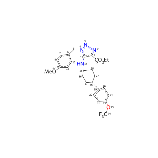 CCOC(=O)c1nnn(Cc2ccc(OC)cc2)c1N[C@H]1CC[C@@H](c2ccc(OC(F)(F)F)cc2)CC1